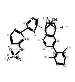 CC1(C)[C@H]2CC[C@]1(c1cncc(-c3cccc(NS(C)(=O)=O)n3)n1)c1nnc(-c3c(F)cccc3F)cc12